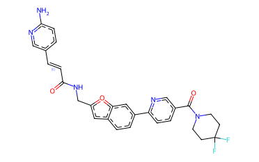 Nc1ccc(/C=C/C(=O)NCc2cc3ccc(-c4ccc(C(=O)N5CCC(F)(F)CC5)cn4)cc3o2)cn1